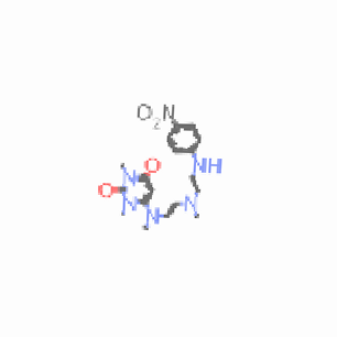 CN(CCNc1ccc([N+](=O)[O-])cc1)CCN(C)c1cc(=O)n(C)c(=O)n1C